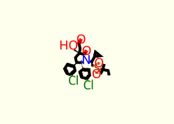 CCC(C)(C)S(=O)(=O)C[C@H](C1CC1)N1C(=O)[C@@](C)(CC(=O)O)C[C@H](c2cccc(Cl)c2)[C@H]1c1ccc(Cl)cc1